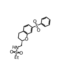 CCS(=O)(=O)NC[C@H]1CCc2ccc(S(=O)(=O)c3ccccc3)cc2O1